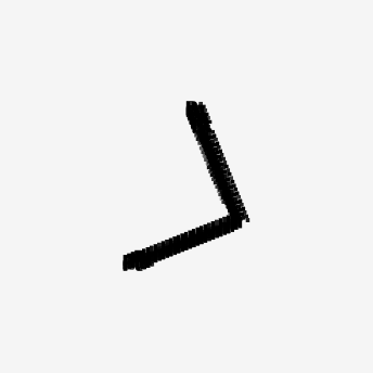 [Ir].[Ir].[Ir].[Ir].[Ir].[Ir].[Ir].[Ir].[Ir].[Ir].[Ir].[Ir].[Ir].[Ir].[Ir].[Ir].[Ir].[Ir].[Ir].[Ir].[Ir].[Ir].[Ir].[Ir].[Ir].[Ir].[Ir].[Ir].[Ir].[Ir].[Ir].[Ir].[Ir].[Ir].[Ir].[Ir].[Ir].[Ir].[Ir].[Ir].[Ir].[Ir].[Ir].[Ir].[Ir].[Ir].[Ir].[Ir].[Ir].[Pt].[Pt].[Pt].[Pt].[Pt].[Pt].[Pt].[Pt].[Pt]